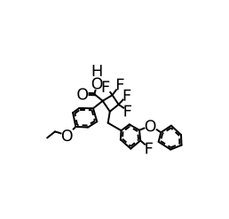 CCOc1ccc(C2(C(=O)O)C(Cc3ccc(F)c(Oc4ccccc4)c3)C(F)(F)C2(F)F)cc1